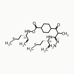 C=C[C@H](CCSC)NOC(=O)C1CCC(C(=O)C(C)/C(=N/N)N[C@H](C=C)CCSC)CC1